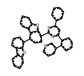 c1ccc(-c2cc(-c3ccccc3-c3cccnc3)nc(-c3ccc(-c4cccc5c4oc4ccccc45)c4c3oc3ccccc34)n2)cc1